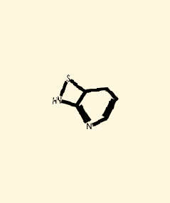 C1=CN=C2NSC2C1